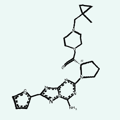 CC1(CN2CCN(C(=O)[C@@H]3CCCN3c3nc(N)n4nc(-c5ccco5)nc4n3)CC2)CC1